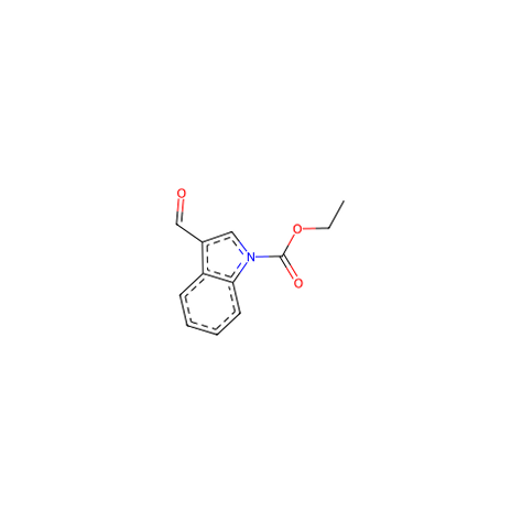 CCOC(=O)n1cc(C=O)c2ccccc21